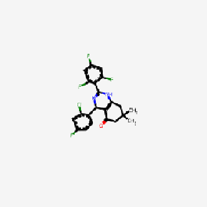 CC1(C)CC(=O)C2=C(C1)NC(c1c(F)cc(F)cc1F)=NC2c1ccc(F)cc1Cl